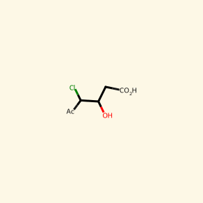 CC(=O)C(Cl)C(O)CC(=O)O